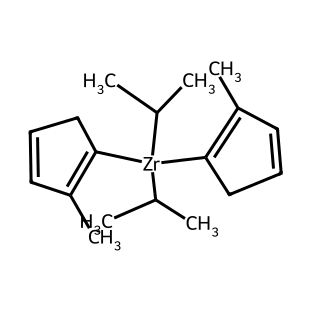 CC1=[C]([Zr]([C]2=C(C)C=CC2)([CH](C)C)[CH](C)C)CC=C1